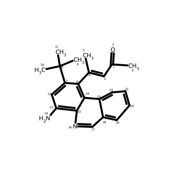 CC(=O)C=C(C)c1c(C(C)(C)C)cc(N)c2ncc3ccccc3c12